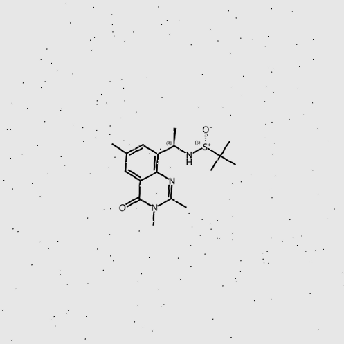 Cc1cc([C@@H](C)N[S@+]([O-])C(C)(C)C)c2nc(C)n(C)c(=O)c2c1